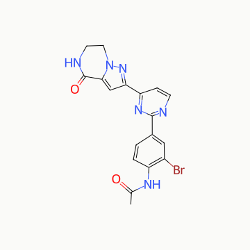 CC(=O)Nc1ccc(-c2nccc(-c3cc4n(n3)CCNC4=O)n2)cc1Br